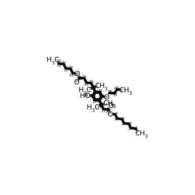 CCCCCCCCOC(=O)CC(C)(C)c1cc(O)c(C(C)(C)CCCC(=O)OCCCCCC)cc1OCCCC